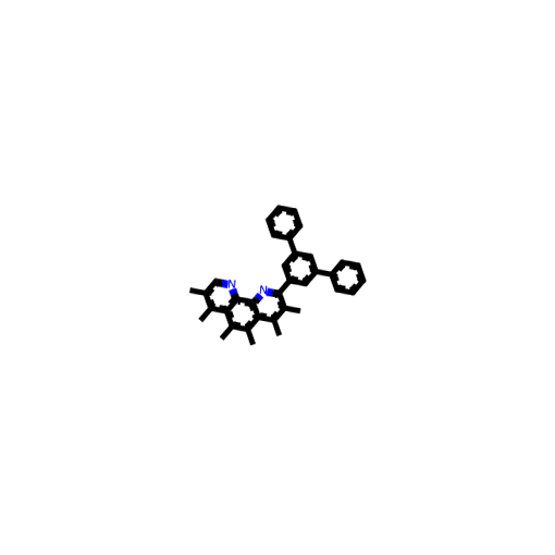 Cc1cnc2c(c1C)c(C)c(C)c1c(C)c(C)c(-c3cc(-c4ccccc4)cc(-c4ccccc4)c3)nc12